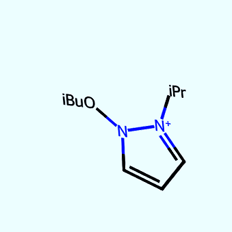 CC(C)COn1ccc[n+]1C(C)C